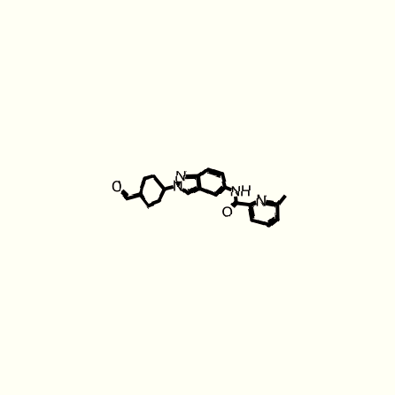 Cc1cccc(C(=O)Nc2ccc3nn(C4CCC(C=O)CC4)cc3c2)n1